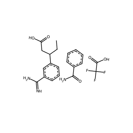 CCC(CC(=O)O)c1cccc(C(=N)N)c1.NC(=O)c1ccccc1.O=C(O)C(F)(F)F